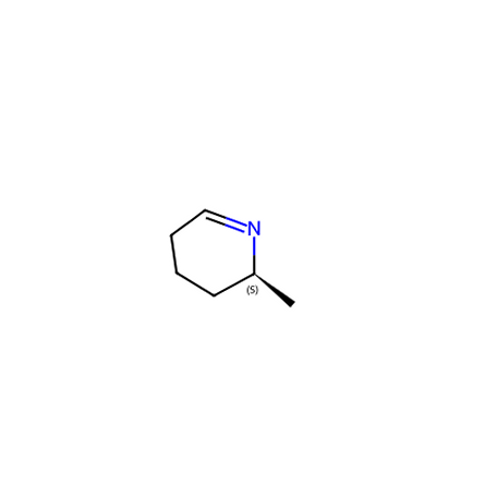 C[C@H]1CCCC=N1